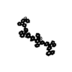 c1ccc(-c2cc(-c3ccc(N(c4ccc(-c5cccc6ccccc56)cc4)c4cccc5ccccc45)cc3)ccc2-c2ccc(-c3ccc(-c4ccc(N(c5ccc(-c6ccc(-c7cccc8oc9ccccc9c78)c(-c7ccccc7)c6)cc5)c5cccc6ccccc56)cc4)cc3)c3c2oc2ccccc23)cc1